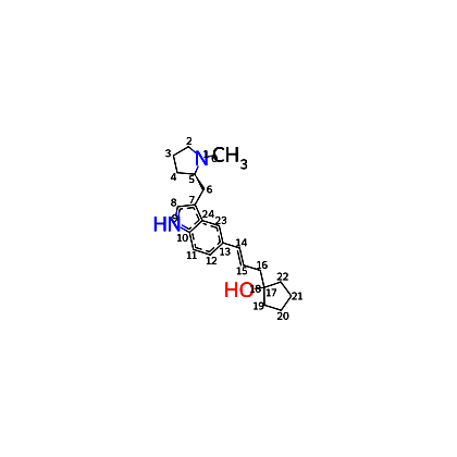 CN1CCC[C@@H]1Cc1c[nH]c2ccc(/C=C/CC3(O)CCCC3)cc12